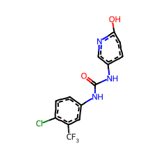 O=C(Nc1ccc(O)nc1)Nc1ccc(Cl)c(C(F)(F)F)c1